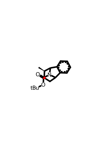 C[C@@H]1CCC2c3ccccc3C1N2C(=O)OC(C)(C)C